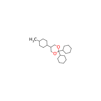 CC1CCC(C2COC(C3CCCCC3)(C3CCCCC3)OC2)CC1